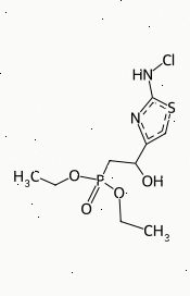 CCOP(=O)(CC(O)c1csc(NCl)n1)OCC